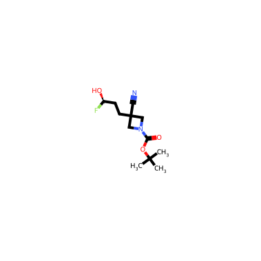 CC(C)(C)OC(=O)N1CC(C#N)(CC[C@H](O)F)C1